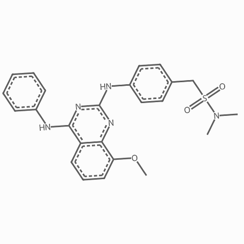 COc1cccc2c(Nc3ccccc3)nc(Nc3ccc(CS(=O)(=O)N(C)C)cc3)nc12